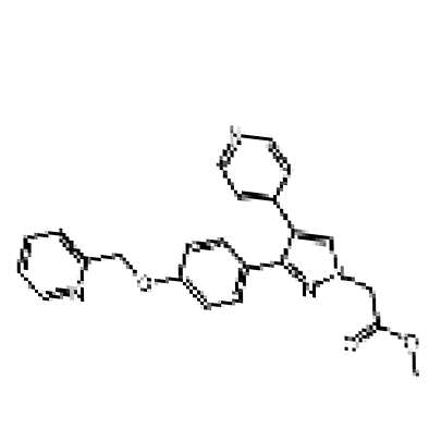 COC(=O)Cn1cc(-c2ccncc2)c(-c2ccc(OCc3ccccn3)cc2)n1